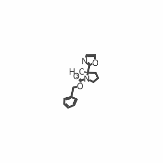 C[C@@]1(c2ncco2)CCCN1C(=O)OCc1ccccc1